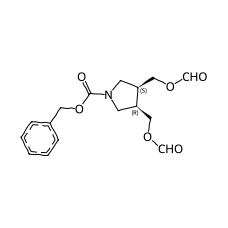 O=COC[C@@H]1CN(C(=O)OCc2ccccc2)C[C@@H]1COC=O